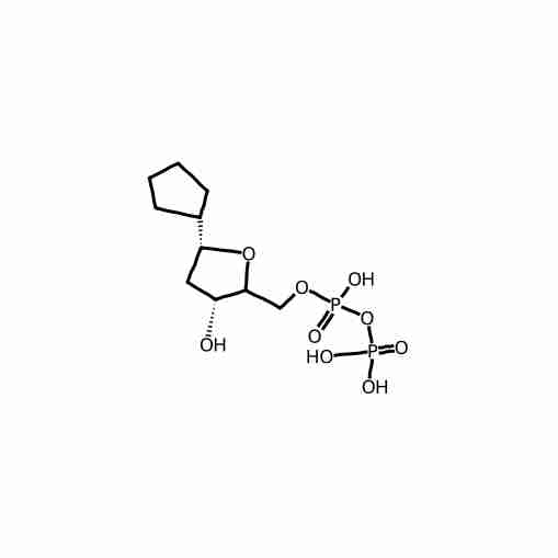 O=P(O)(O)OP(=O)(O)OCC1O[C@@H](C2CCCC2)C[C@H]1O